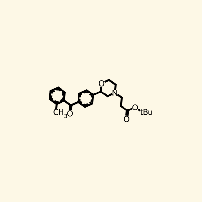 Cc1ccccc1C(=O)c1ccc(C2CN(CCC(=O)OC(C)(C)C)CCO2)cc1